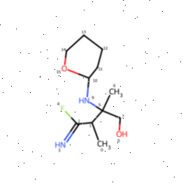 CC(C(=N)F)C(C)(CO)NC1CCCCO1